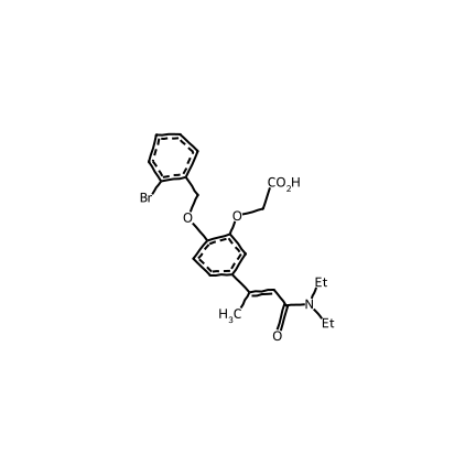 CCN(CC)C(=O)C=C(C)c1ccc(OCc2ccccc2Br)c(OCC(=O)O)c1